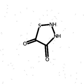 O=c1[nH][nH]sc1=O